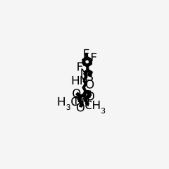 Cn1c(=O)c2c(CC(=O)Nc3nc(-c4cc(F)c(F)cc4F)cs3)coc2n(C)c1=O